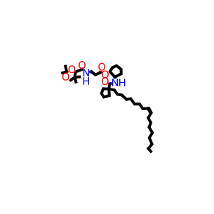 CCCCCCCC/C=C\CCCCCCCCC1(C(=O)NC2CCCCC2OC(=O)CCNC(=O)C2OC(C)(C)OCC2(C)C)CCCC1